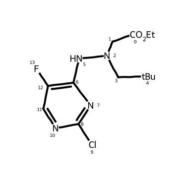 CCOC(=O)CN(CC(C)(C)C)Nc1nc(Cl)ncc1F